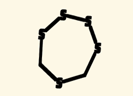 C1SCSSSS1